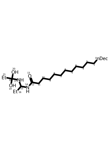 CCCCCCCCCCCCCCCCCCCCCC(=O)NC(CC)NC(O)(O)CC